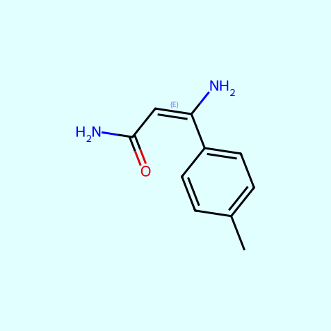 Cc1ccc(/C(N)=C\C(N)=O)cc1